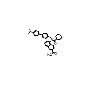 CN(C)c1ccc(-c2ccc(CN(C(=O)C3CCCCC3)c3cccc4cc(C(=O)O)ccc34)cc2)cc1